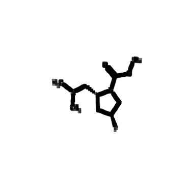 CN(C)C[C@H]1C[C@H](F)CN1C(=O)OC(C)(C)C